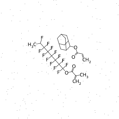 C=C(C)C(=O)OC(F)(F)C(F)(F)C(F)(F)C(F)(F)C(F)(F)C(F)(F)C(C)F.C=CC(=O)OC1C2CC3CC(C2)CC1C3